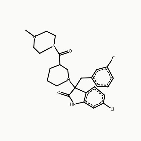 CN1CCN(C(=O)C2CCCN(C3(Cc4cccc(Cl)c4)C(=O)Nc4cc(Cl)ccc43)C2)CC1